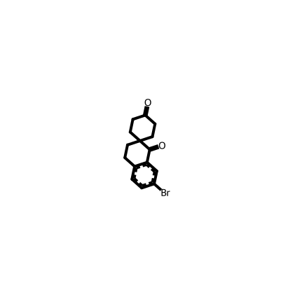 O=C1CCC2(CC1)CCc1ccc(Br)cc1C2=O